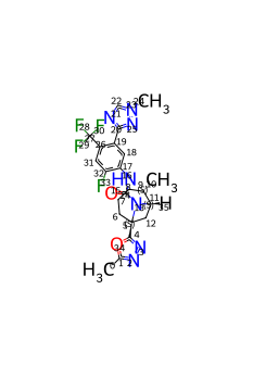 Cc1nnc([C@]23CCC[C@H](C)[C@H](C2)N3C(=O)Nc2cc(-c3ncn(C)n3)c(C(F)(F)F)cc2F)o1